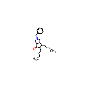 CCCCC1C(=O)C2CN(Cc3ccccc3)CC2C1CCCC